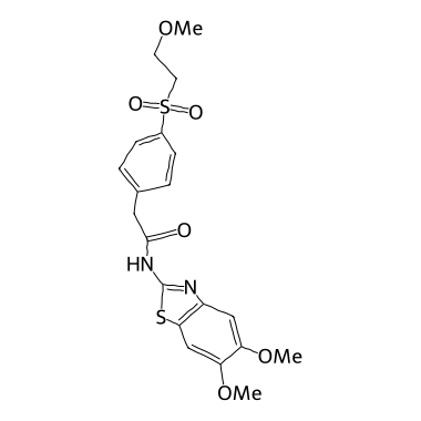 COCCS(=O)(=O)c1ccc(CC(=O)Nc2nc3cc(OC)c(OC)cc3s2)cc1